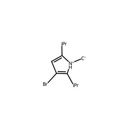 [CH2-][NH+]1C(C(C)C)=CC(Br)=C1C(C)C